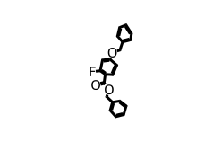 O=C(OCc1ccccc1)c1ccc(OCc2ccccc2)cc1F